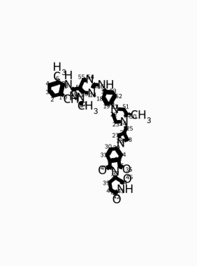 Cc1cccc(C)c1Nc1nn(C)c2nc(Nc3ccc(N4CCN(CC5CN(c6ccc7c(c6)C(=O)N(C6CCC(=O)NC6=O)C7=O)C5)[C@H](C)C4)cc3)ncc12